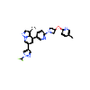 Cc1ccc(OC2CN(c3ccc(-c4cc(-c5cnn(C(F)F)c5)cn5ncc(C#N)c45)cn3)C2)nc1